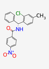 Cc1ccc([C@H](NC(=O)c2ccc([N+](=O)[O-])cc2)c2ccccc2)c(Cl)c1